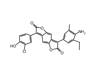 CCc1cc(C2=c3cc4c(cc3OC2=O)=C(c2ccc(O)c(Cl)c2)C(=O)O4)cc(C)c1N